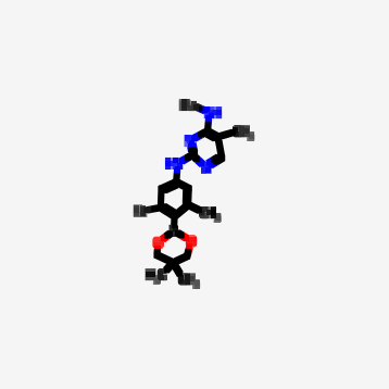 CCc1cc(Nc2ncc(C)c(NC(C)CC)n2)cc(C)c1B1OCC(C)(C)CO1